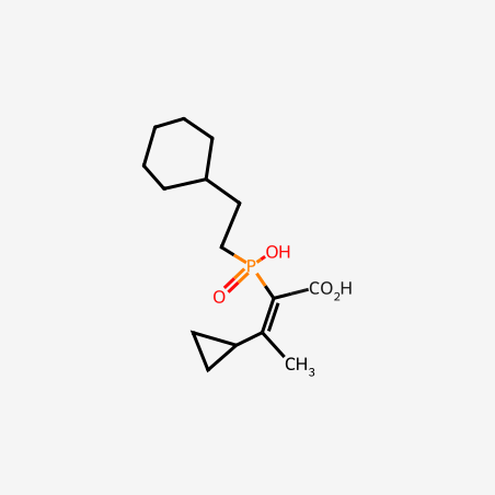 CC(=C(C(=O)O)P(=O)(O)CCC1CCCCC1)C1CC1